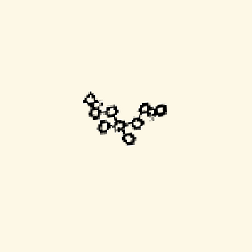 c1ccc(-c2nc(-c3ccccc3)c(-c3cccc(-c4cccc5c4sc4ccccc45)c3)cc2-c2cccc(-c3cccc4c3sc3ccccc34)c2)cc1